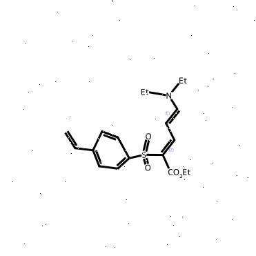 C=Cc1ccc(S(=O)(=O)/C(=C\C=C\N(CC)CC)C(=O)OCC)cc1